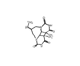 CC12C(=O)NC(=O)N3CC(NC=O)CN4C(=O)NC(=O)C1(C)C4C32